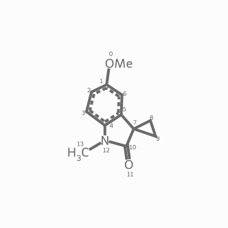 COc1ccc2c(c1)C1(CC1)C(=O)N2C